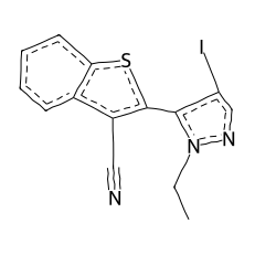 CCn1ncc(I)c1-c1sc2ccccc2c1C#N